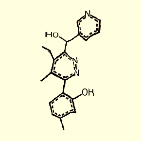 Cc1ccc(-c2nnc(C(O)c3cccnc3)c(C)c2C)c(O)c1